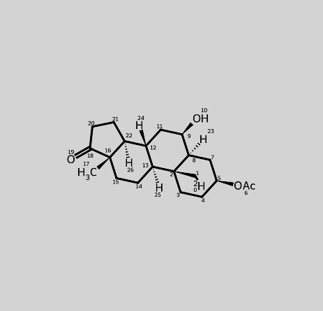 [2H]C[C@]12CC[C@H](OC(C)=O)C[C@@H]1[C@H](O)C[C@@H]1[C@@H]2CC[C@]2(C)C(=O)CC[C@@H]12